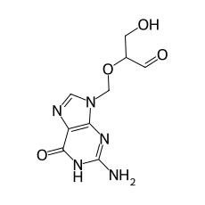 Nc1nc2c(ncn2COC(C=O)CO)c(=O)[nH]1